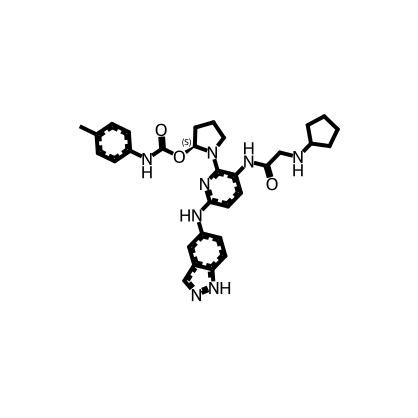 Cc1ccc(NC(=O)O[C@H]2CCCN2c2nc(Nc3ccc4[nH]ncc4c3)ccc2NC(=O)CNC2CCCC2)cc1